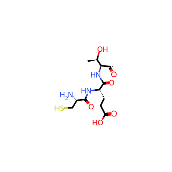 C[C@@H](O)[C@@H]([C]=O)NC(=O)[C@H](CCC(=O)O)NC(=O)[C@@H](N)CS